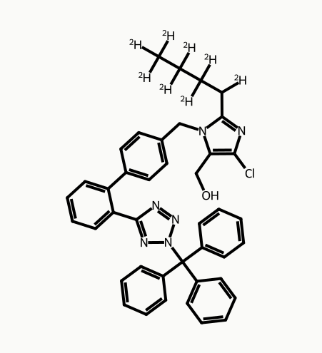 [2H]C(c1nc(Cl)c(CO)n1Cc1ccc(-c2ccccc2-c2nnn(C(c3ccccc3)(c3ccccc3)c3ccccc3)n2)cc1)C([2H])([2H])C([2H])([2H])C([2H])([2H])[2H]